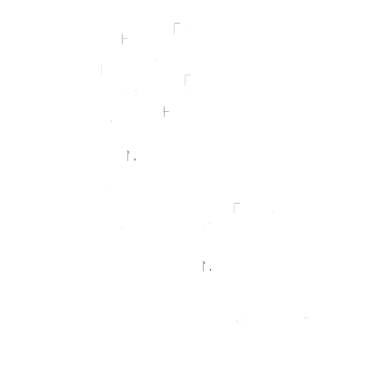 CC(C)(C)c1ccc2c(c1)C1(CCN(CC(F)(F)C(F)(F)F)CC1)CN2C(=O)c1c(F)cccc1F